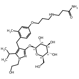 Cc1cc(OCCCNCCC(N)=O)ccc1Cc1c(O[C@@H]2O[C@H](CO)[C@@H](O)[C@H](O)[C@H]2O)nn(CCO)c1C(C)C